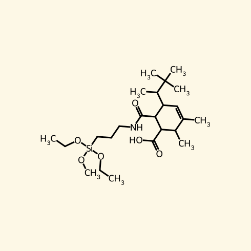 CCO[Si](CCCNC(=O)C1C(C(C)C(C)(C)C)C=C(C)C(C)C1C(=O)O)(OC)OCC